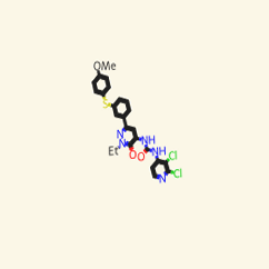 CCn1nc(-c2cccc(Sc3ccc(OC)cc3)c2)cc(NC(=O)Nc2ccnc(Cl)c2Cl)c1=O